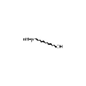 CCCCCCCCCC=CCCCCCCCCO